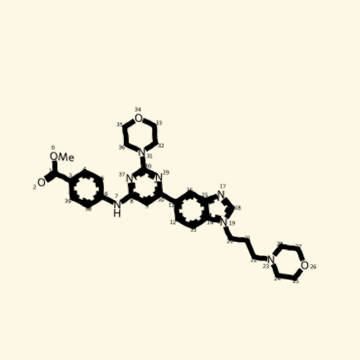 COC(=O)c1ccc(Nc2cc(-c3ccc4c(c3)ncn4CCCN3CCOCC3)nc(N3CCOCC3)n2)cc1